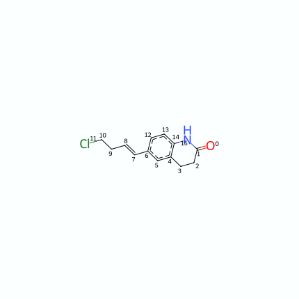 O=C1CCc2cc(C=CCCCl)ccc2N1